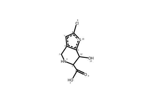 O=C(O)C1NCc2cc(Cl)sc2C1O